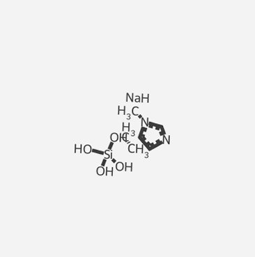 CC.Cn1ccnc1.O[Si](O)(O)O.[NaH]